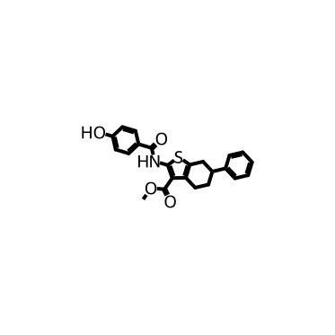 COC(=O)c1c(NC(=O)c2ccc(O)cc2)sc2c1CCC(c1ccccc1)C2